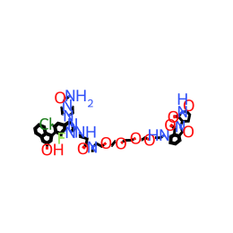 CN(CCOCCOCCOCCOCCNc1cccc2c1C(=O)N(C1CCC(=O)NC1=O)C2=O)C(=O)CCNc1nc(N2CCN(C(N)=O)CC2)c2cc(Cl)c(-c3cc(O)cc4ccccc34)c(F)c2n1